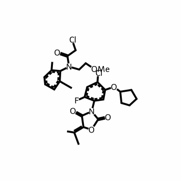 CC(C)=C1OC(=O)N(c2cc(OC3CCCC3)c(Cl)cc2F)C1=O.COCCN(C(=O)CCl)c1c(C)cccc1C